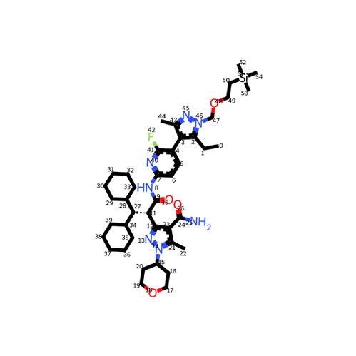 CCc1c(-c2ccc(NC(=O)[C@H](c3nn(C4CCOCC4)c(C)c3C(N)=O)C(C3CCCCC3)C3CCCCC3)nc2F)c(C)nn1COCC[Si](C)(C)C